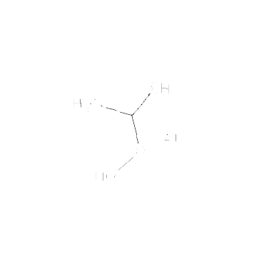 CC(C)OO.[AlH3]